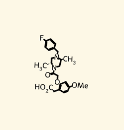 COc1ccc(CC(=O)O)c(OCC(=O)N2C[C@H](C)N(Cc3ccc(F)cc3)C[C@H]2C)c1